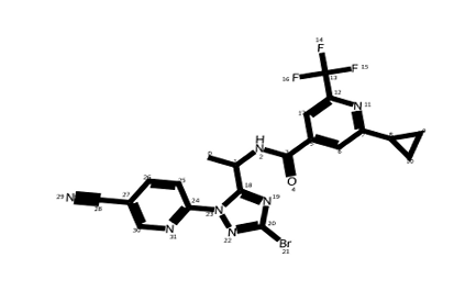 CC(NC(=O)c1cc(C2CC2)nc(C(F)(F)F)c1)c1nc(Br)nn1-c1ccc(C#N)cn1